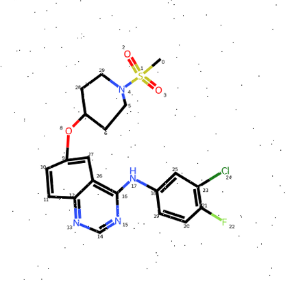 CS(=O)(=O)N1CCC(Oc2ccc3ncnc(Nc4ccc(F)c(Cl)c4)c3c2)CC1